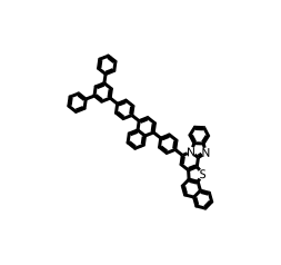 c1ccc(-c2cc(-c3ccccc3)cc(-c3ccc(-c4ccc(-c5ccc(-c6cc7c8ccc9ccccc9c8sc7c7nc8ccccc8n67)cc5)c5ccccc45)cc3)c2)cc1